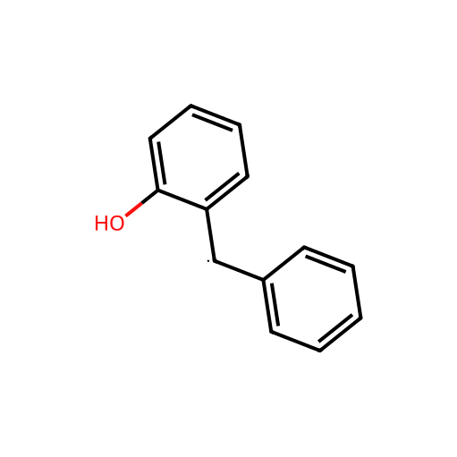 Oc1ccccc1[CH]c1ccccc1